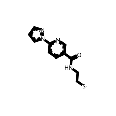 O=C(NCC[S])c1ccc(-n2cccn2)nc1